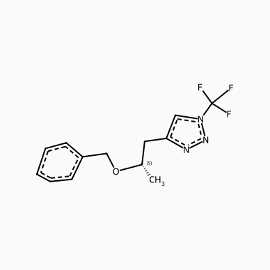 C[C@@H](Cc1cn(C(F)(F)F)nn1)OCc1ccccc1